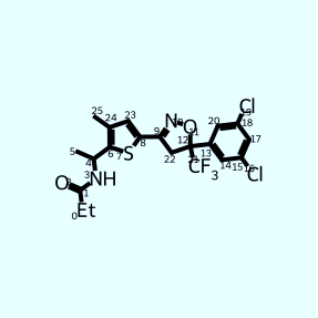 CCC(=O)NC(C)c1sc(C2=NOC(c3cc(Cl)cc(Cl)c3)(C(F)(F)F)C2)cc1C